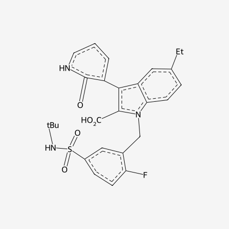 CCc1ccc2c(c1)c(-c1ccc[nH]c1=O)c(C(=O)O)n2Cc1cc(S(=O)(=O)NC(C)(C)C)ccc1F